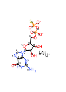 Nc1nc2c(ncn2C2OC(COP(=O)([O-])OP([O-])([O-])=S)C(O)C2O)c(=O)[nH]1.[Li+].[Li+].[Li+]